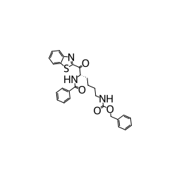 O=C(NCCCC[C@H](NC(=O)c1ccccc1)C(=O)c1nc2ccccc2s1)OCc1ccccc1